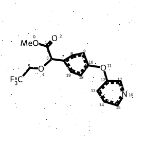 COC(=O)C(OCC(F)(F)F)c1ccc(Oc2cccnc2)cc1